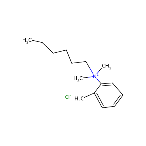 CCCCCC[N+](C)(C)c1ccccc1C.[Cl-]